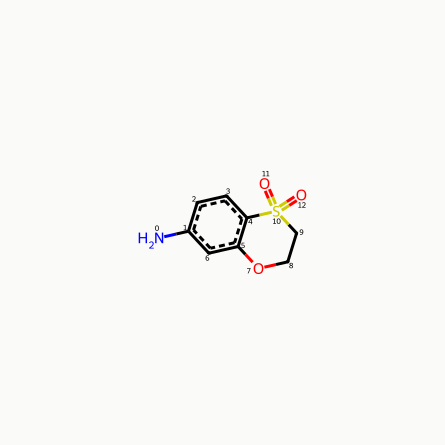 Nc1ccc2c(c1)OCCS2(=O)=O